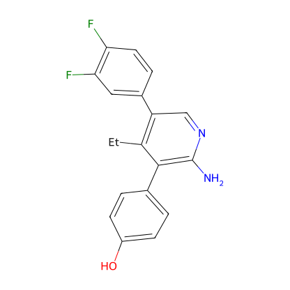 CCc1c(-c2ccc(F)c(F)c2)cnc(N)c1-c1ccc(O)cc1